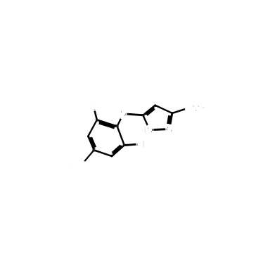 CSc1cc([N]c2c(Cl)cc(C(F)(F)F)cc2Cl)[nH]n1